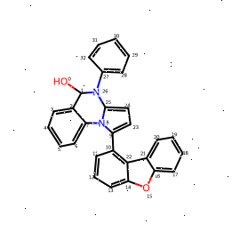 OC1c2ccccc2-n2c(-c3cccc4oc5ccccc5c34)ccc2N1c1ccccc1